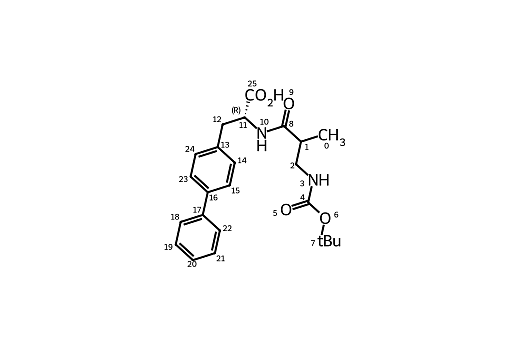 CC(CNC(=O)OC(C)(C)C)C(=O)N[C@H](Cc1ccc(-c2ccccc2)cc1)C(=O)O